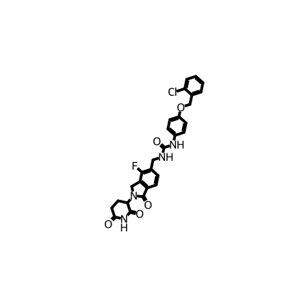 O=C1CCC(N2Cc3c(ccc(CNC(=O)Nc4ccc(OCc5ccccc5Cl)cc4)c3F)C2=O)C(=O)N1